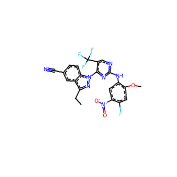 CCc1nn(-c2nc(Nc3cc([N+](=O)[O-])c(F)cc3OC)ncc2C(F)(F)F)c2ccc(C#N)cc12